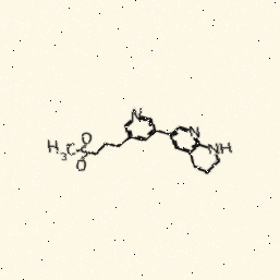 CS(=O)(=O)CCCc1cncc(-c2cnc3c(c2)CCCN3)c1